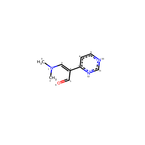 CN(C)C=C(C=O)c1ccncn1